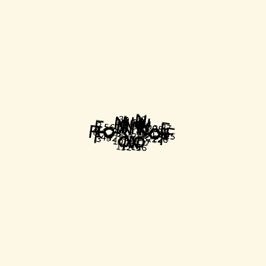 FC(F)(F)c1ccc(C([C@H]2CCCN(N3CCC[C@H](C(c4ccc(C(F)(F)F)cc4)n4ncnn4)C3)C2)n2ncnn2)cc1